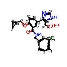 Cc1ccc(CNC(=O)c2cc(-c3nc[nH]c3CO)ccc2OCC2CC2)cc1F